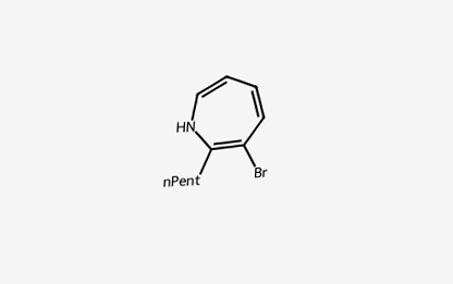 CCCCCC1=C(Br)C=CC=CN1